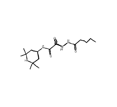 CCCCC(=O)NNC(=O)C(=O)NC1CC(C)(C)NC(C)(C)C1